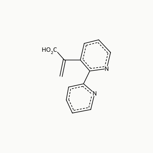 C=C(C(=O)O)c1cccnc1-c1ccccn1